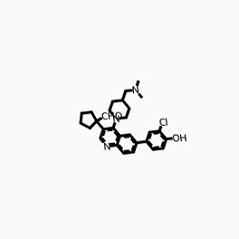 CN(C)CC1CCN(c2c(C3(C=O)CCCC3)cnc3ccc(-c4ccc(O)c(Cl)c4)cc23)CC1